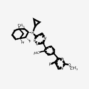 COc1ncc(F)c(-c2ccc(-c3ncc(N(C4CC4)[C@H]4C[C@]5(C)CCC[C@@H](C5)[C@H]4F)nn3)c(O)c2)n1